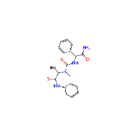 CCC(C)C1C(=O)Nc2ccccc2CN1C(=O)NC(C(N)=O)c1ccccc1